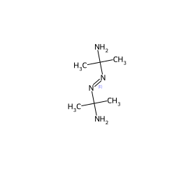 CC(C)(N)/N=N/C(C)(C)N